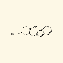 O=C(O)C1CCN(C(=O)O)C(Cn2cc3ccccc3c2)C1